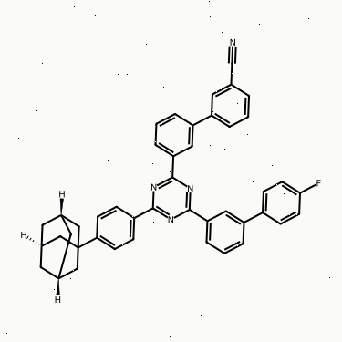 N#Cc1cccc(-c2cccc(-c3nc(-c4ccc(C56C[C@H]7C[C@@H](C5)C[C@@H](C6)C7)cc4)nc(-c4cccc(-c5ccc(F)cc5)c4)n3)c2)c1